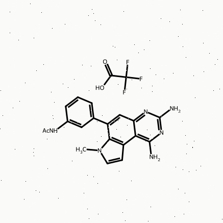 CC(=O)Nc1cccc(-c2cc3nc(N)nc(N)c3c3ccn(C)c23)c1.O=C(O)C(F)(F)F